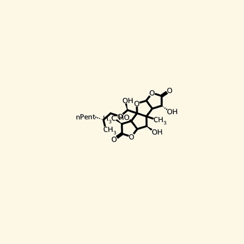 CCCCC[C@@H](C)CO[C@@H](O)C12OC3OC(=O)[C@H](O)C3C1(C)[C@@H](O)C1OC(=O)[C@@H](C)[C@@]12O